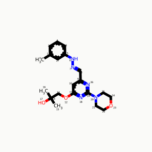 Cc1cccc(N/N=C/c2cc(OCC(C)(C)O)nc(N3CCOCC3)n2)c1